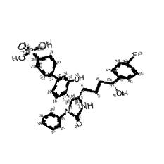 O=C1N[C@H](CCC[C@@H](O)c2ccc(F)cc2)[C@@H](c2ccc(-c3ccc(P(=O)(O)O)cc3)cc2O)N1c1ccccc1